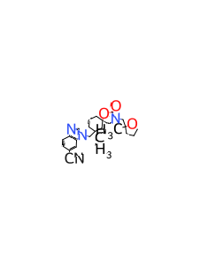 CC1(CN2C[C@@]3(CCC[C@](C)(Cn4cnc5ccc(C#N)cc54)C3)OC2=O)CCCO1